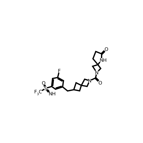 N=S(=O)(c1cc(F)cc(CC2CC3(C2)CN(C(=O)N2CC4(CCC(=O)N4)C2)C3)c1)C(F)(F)F